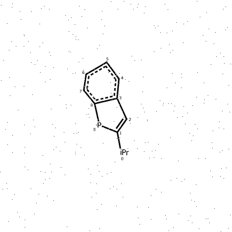 CC(C)C1=Cc2ccccc2[P]1